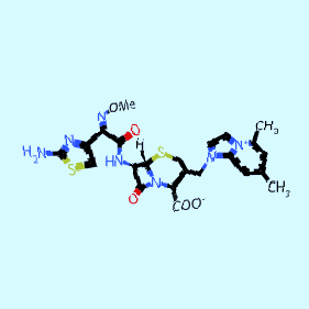 CO/N=C(\C(=O)N[C@@H]1C(=O)N2C(C(=O)[O-])=C(Cn3cc[n+]4c(C)cc(C)cc34)CS[C@@H]12)c1csc(N)n1